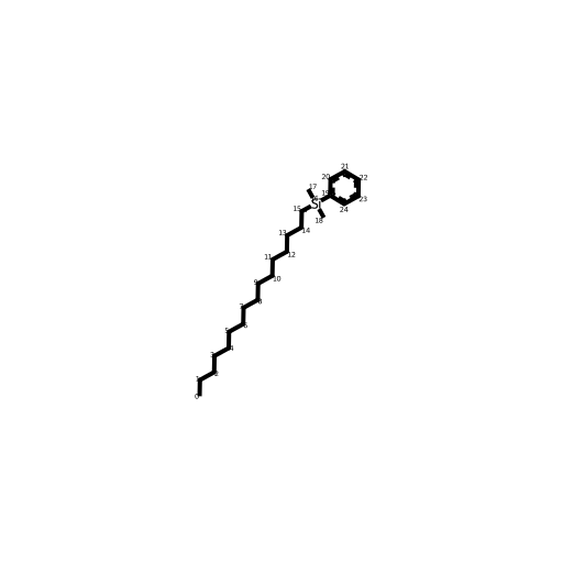 CCCCCCCCCCCCCCC[CH][Si](C)(C)c1ccccc1